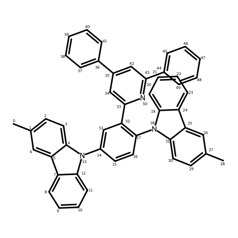 Cc1ccc2c(c1)c1ccccc1n2-c1ccc(-n2c3ccccc3c3cc(C)ccc32)c(-c2cc(-c3ccccc3)cc(-c3ccccc3)n2)c1